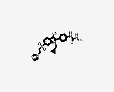 CC(C)NC(=O)Nc1ccc(-c2c(C#N)c3ccc(S(=O)(=O)CCn4ccnc4)cc3n2CC2CC2)cc1